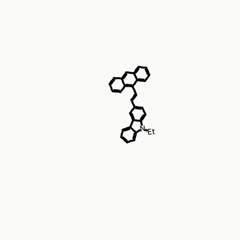 CCn1c2ccccc2c2cc(C=Cc3c4ccccc4cc4ccccc34)ccc21